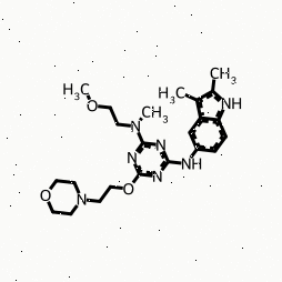 COCCN(C)c1nc(Nc2ccc3[nH]c(C)c(C)c3c2)nc(OCCN2CCOCC2)n1